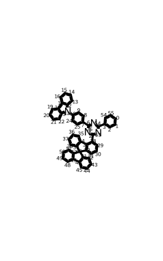 c1ccc(-c2nc(-c3ccc(-n4c5ccccc5c5ccccc54)cc3)nc(-c3cccc4c3-c3ccccc3C43c4ccccc4-c4ccccc43)n2)cc1